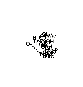 COP(=O)(O)O[C@H](C)[C@H](NC(=O)[C@H](CO)NC(=O)[C@H](Cc1cncn1CCCCCCCCc1ccccc1)NC(=O)[C@H](CC(C)C)NC(=O)[C@@H]1CCCN1C(C)=O)C(N)=O